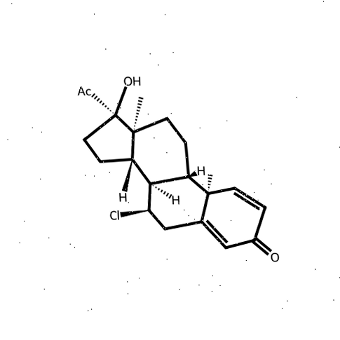 CC(=O)[C@@]1(O)CC[C@H]2[C@@H]3[C@H](Cl)CC4=CC(=O)C=C[C@]4(C)[C@H]3CC[C@@]21C